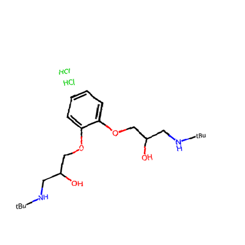 CC(C)(C)NCC(O)COc1ccccc1OCC(O)CNC(C)(C)C.Cl.Cl